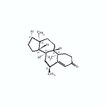 CC(=O)[C@H]1CC[C@H]2[C@@H]3C[C@H](C)C4=CC(=O)CC[C@]4(C)[C@H]3CC[C@]12C